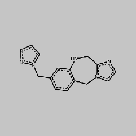 c1cnn(Cc2ccc3c(c2)NCc2nccn2C3)c1